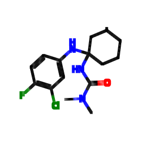 CN(C)C(=O)NC1(Nc2ccc(F)c(Cl)c2)C[CH]CCC1